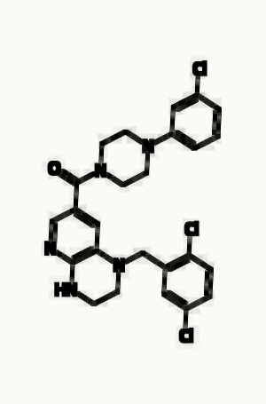 O=C(c1cnc2c(c1)N(Cc1cc(Cl)ccc1Cl)CCN2)N1CCN(c2cccc(Cl)c2)CC1